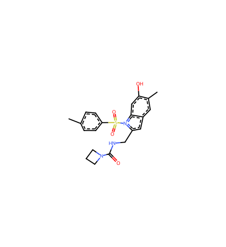 Cc1ccc(S(=O)(=O)n2c(CNC(=O)N3CCC3)cc3cc(C)c(O)cc32)cc1